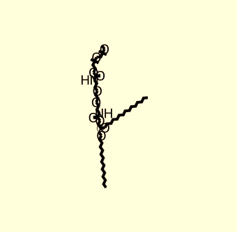 CCCCCCCCCCCCCCOC[C@@H](COC(=O)NCCOCCOCCNC(=O)OCCC(C)(C)OCC(C)(C)OC)OCCCCCCCCCCCCCC